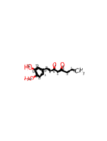 CCCC(=O)CC(=O)/C=C/c1ccc(O)c(O)c1